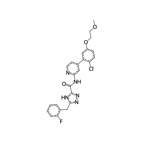 COCCOc1ccc(Cl)c(-c2ccnc(NC(=O)c3nnc(Cc4ccccc4F)[nH]3)c2)c1